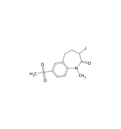 CN1C(=O)C(I)CCc2cc(S(C)(=O)=O)ccc21